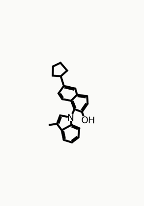 Cc1cn(-c2c(O)ccc3cc(C4CCCC4)ccc23)c2ccccc12